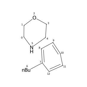 C1COCCN1.CCCCc1ccccc1